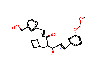 COCOc1cccc(/C=C/C(=O)C(CC2CCC2)C(=O)/C=C/c2cccc(CO)c2)c1